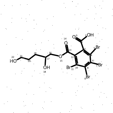 O=C(O)c1c(Br)c(Br)c(Br)c(Br)c1C(=O)OCC(O)CCCO